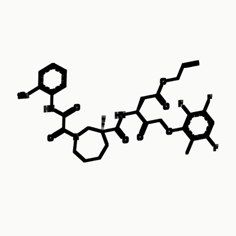 C=CCOC(=O)C[C@H](NC(=O)[C@@]1(C)CCCCN(C(=O)C(=O)Nc2ccccc2C(C)(C)C)C1)C(=O)COc1c(C)c(F)cc(F)c1F